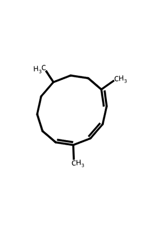 CC1=CCCCC(C)CCC(C)=CC=C1